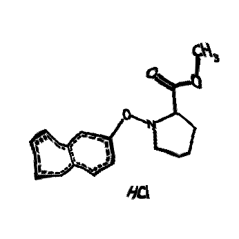 COC(=O)C1CCCN1Oc1ccc2ccccc2c1.Cl